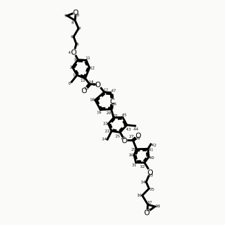 Cc1cc(OCCCC2CO2)ccc1C(=O)Oc1ccc(-c2cc(C)c(OC(=O)c3ccc(OCCCC4CO4)cc3C)c(C)c2)cc1